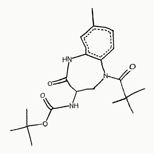 Cc1ccc2c(c1)NC(=O)C(NC(=O)OC(C)(C)C)CN2C(=O)C(C)(C)C